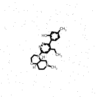 CCc1cc(N2CCO[C@@H]3CCN(C)C[C@@H]32)nnc1-c1ccc(C)cc1O